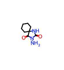 NN1C(=O)NC2(CCCCC2)C1=O